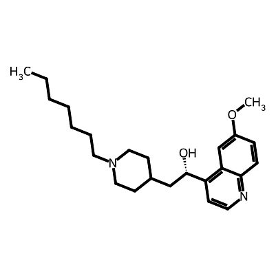 CCCCCCCN1CCC(C[C@H](O)c2ccnc3ccc(OC)cc23)CC1